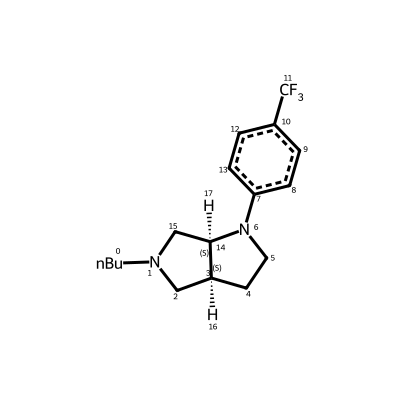 CCCCN1C[C@@H]2CCN(c3ccc(C(F)(F)F)cc3)[C@@H]2C1